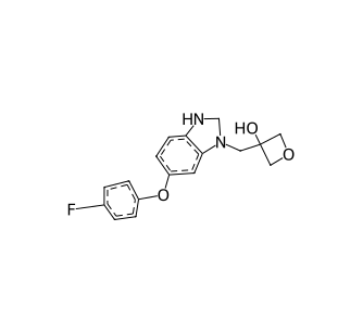 OC1(CN2CNc3ccc(Oc4ccc(F)cc4)cc32)COC1